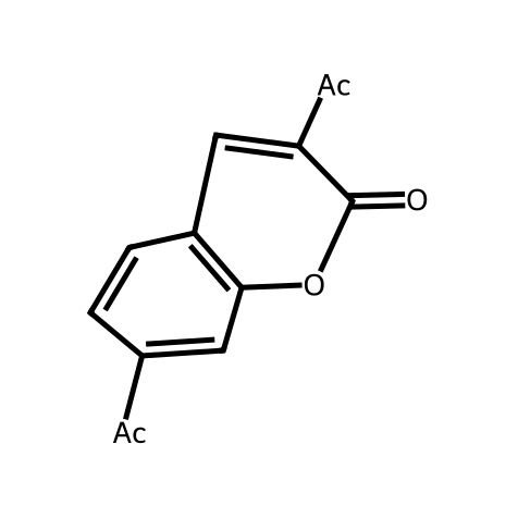 CC(=O)c1ccc2cc(C(C)=O)c(=O)oc2c1